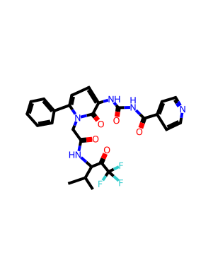 CC(C)C(NC(=O)Cn1c(-c2ccccc2)ccc(NC(=O)NC(=O)c2ccncc2)c1=O)C(=O)C(F)(F)F